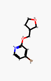 Brc1ccnc(OCC2CCOC2)c1